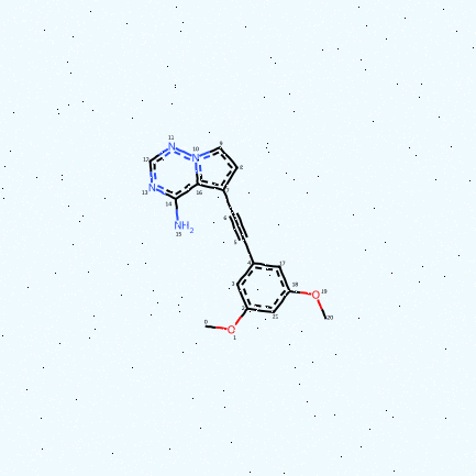 COc1cc(C#Cc2ccn3ncnc(N)c23)cc(OC)c1